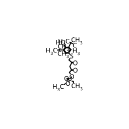 CCOP(=O)(CC)OCC(=O)CC(=O)CSc1cc(C(C)(C)C)c(O)c(C(C)(C)C)c1